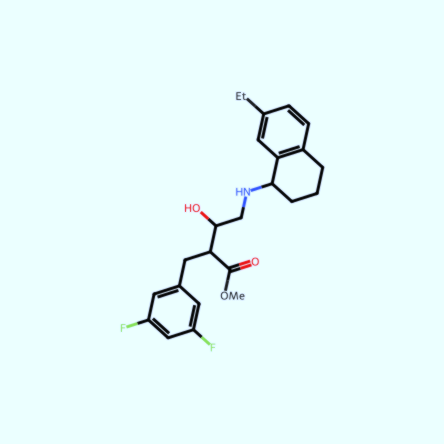 CCc1ccc2c(c1)C(NCC(O)C(Cc1cc(F)cc(F)c1)C(=O)OC)CCC2